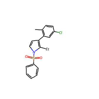 [CH2]Cc1c(-c2cc(Cl)ccc2C)ccn1S(=O)(=O)c1ccccc1